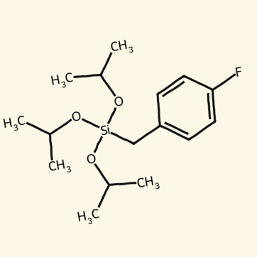 CC(C)O[Si](Cc1ccc(F)cc1)(OC(C)C)OC(C)C